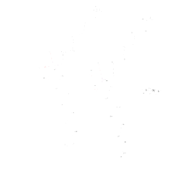 CCCCCCCCP([O-])([O-])([O-])CCCCCCCC.CCCCCCCCP([O-])([O-])([O-])CCCCCCCC.[Ba+2].[Ba+2].[Ba+2]